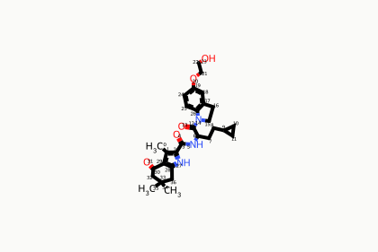 Cc1c(C(=O)NC(CCC2CC2)C(=O)N2CCc3cc(OCCO)ccc32)[nH]c2c1C(=O)CC(C)(C)C2